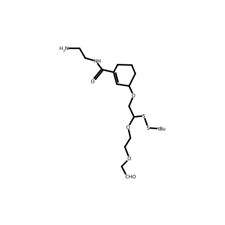 CC(C)(C)SSC(COC1C=C(C(=O)NCCN)CCC1)OCCOCC=O